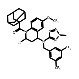 CCC1CC(N(Cc2cc(C(F)(F)F)cc(C(F)(F)F)c2)c2nnn(C)n2)c2cc(OC(F)(F)F)ccc2N1C(=O)C12CC3CC(CC(C3)C1)C2